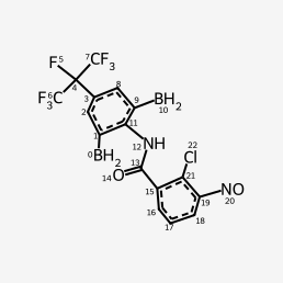 Bc1cc(C(F)(C(F)(F)F)C(F)(F)F)cc(B)c1NC(=O)c1cccc(N=O)c1Cl